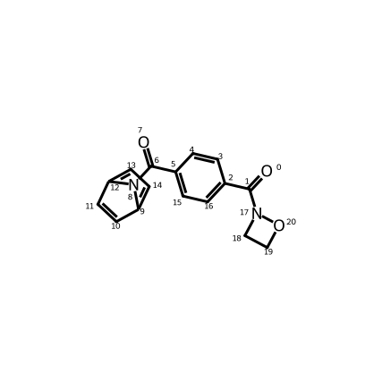 O=C(c1ccc(C(=O)n2c3ccc2cc3)cc1)N1CCO1